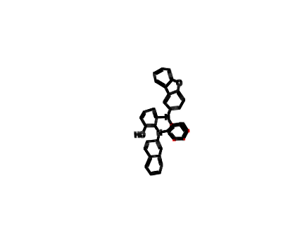 Oc1cccc(N(c2ccccc2)c2ccc3oc4ccccc4c3c2)c1N(c1ccccc1)c1ccc2ccccc2c1